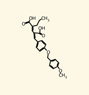 CCCC(=CC(=Cc1ccc(OCc2ccc(OC)cc2)cc1)C(=O)O)C(=O)O